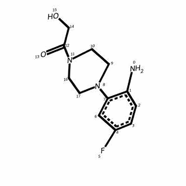 Nc1ccc(F)cc1N1CCN(C(=O)CO)CC1